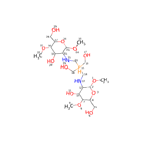 COC1OC(CO)C(OC)C(O)C1NC[PH](CO)(CO)CNC1C(OC)OC(CO)C(OC)C1O